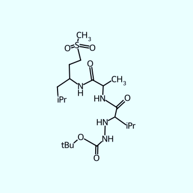 CC(C)CC(CCS(C)(=O)=O)NC(=O)C(C)NC(=O)C(NNC(=O)OC(C)(C)C)C(C)C